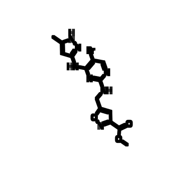 COC(=O)c1cc(CNc2ncc(Br)c(Nc3cc(C)[nH]n3)n2)on1